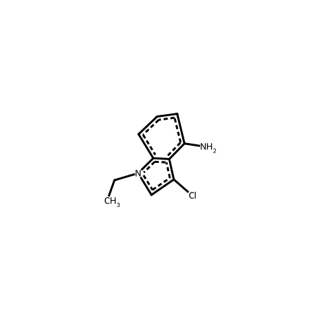 CCn1cc(Cl)c2c(N)cccc21